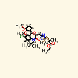 CCOC(=O)C(C)(C)Sc1nc(C[C@H]2O[C@H](c3cccc(OC)c3OC)c3cc(Cl)ccc3N(CC(C)(C)C)C2=O)ns1